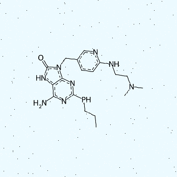 CCCPc1nc(N)c2[nH]c(=O)n(Cc3ccc(NCCN(C)C)nc3)c2n1